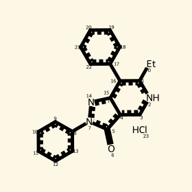 CCc1[nH]cc2c(=O)n(-c3ccccc3)nc-2c1-c1ccccc1.Cl